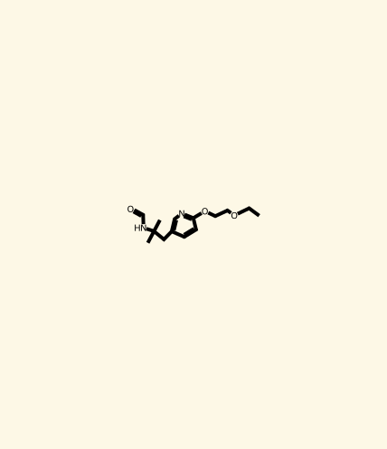 CCOCCOc1ccc(CC(C)(C)NC=O)cn1